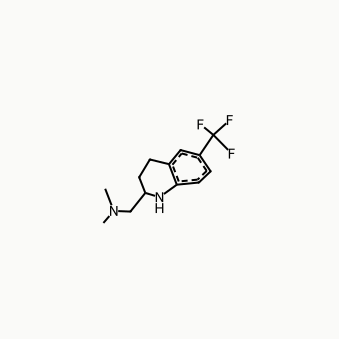 CN(C)CC1CCc2cc(C(F)(F)F)ccc2N1